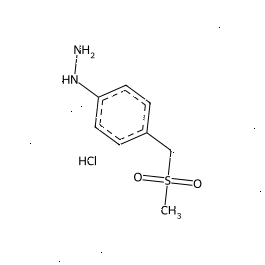 CS(=O)(=O)Cc1ccc(NN)cc1.Cl